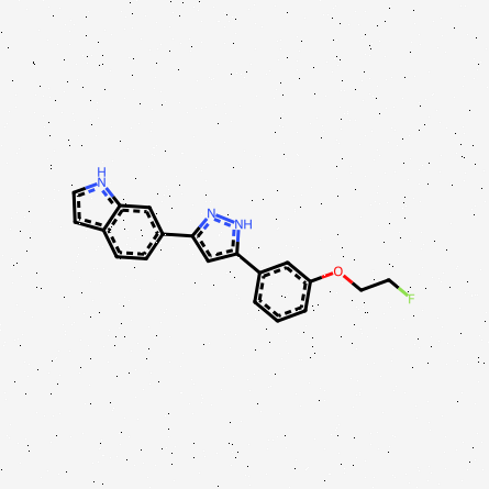 FCCOc1cccc(-c2cc(-c3ccc4cc[nH]c4c3)n[nH]2)c1